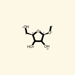 CO[C@@H]1O[C@H](CO)C(O)C1O